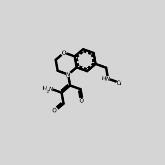 N/C(C=O)=C(/C=O)N1CCOc2ccc(CNCl)cc21